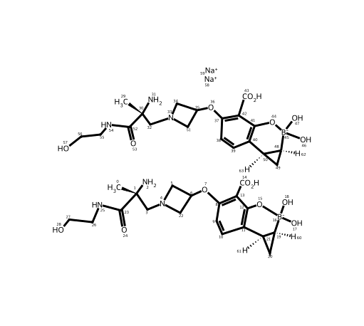 C[C@@](N)(CN1CC(Oc2ccc3c(c2C(=O)O)O[B-](O)(O)[C@H]2C[C@@H]32)C1)C(=O)NCCO.C[C@@](N)(CN1CC(Oc2ccc3c(c2C(=O)O)O[B-](O)(O)[C@H]2C[C@@H]32)C1)C(=O)NCCO.[Na+].[Na+]